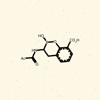 CC(=O)C(=O)NC1Cc2cccc(C(=O)O)c2OB1O